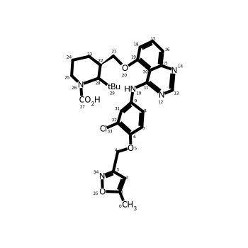 Cc1cc(COc2ccc(Nc3ncnc4cccc(OC[C@@H]5CCCN(C(=O)O)C5C(C)(C)C)c34)cc2Cl)no1